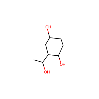 CC(O)C1CC(O)CCC1O